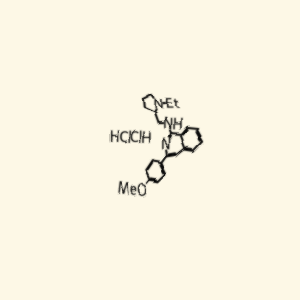 CCN1CCCC1CNc1nc(-c2ccc(OC)cc2)cc2ccccc12.Cl.Cl